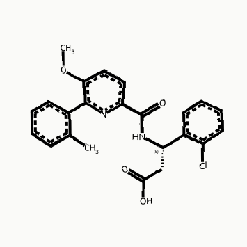 COc1ccc(C(=O)N[C@@H](CC(=O)O)c2ccccc2Cl)nc1-c1ccccc1C